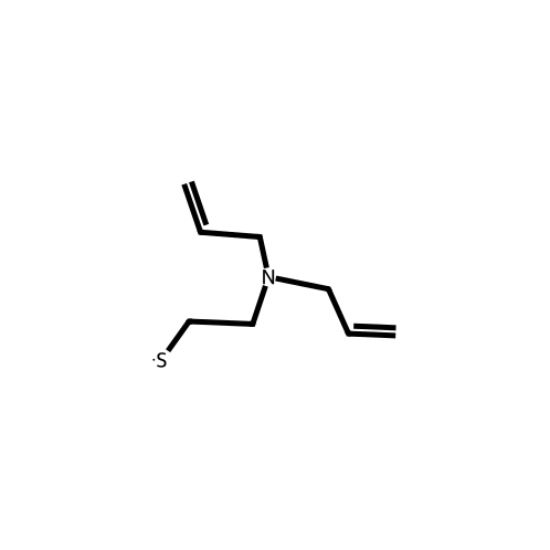 C=CCN(CC=C)CC[S]